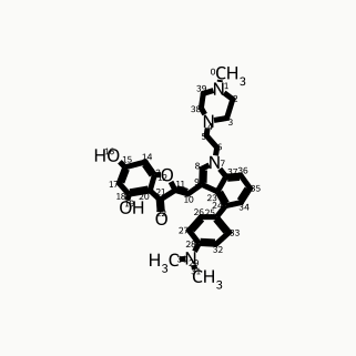 CN1CCN(CCn2cc(C=C3Oc4cc(O)cc(O)c4C3=O)c3c(-c4ccc(N(C)C)cc4)cccc32)CC1